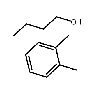 CCCCO.Cc1ccccc1C